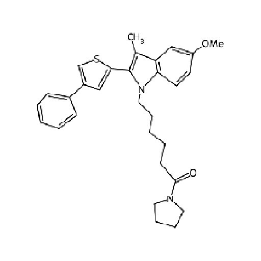 COc1ccc2c(c1)c(C)c(-c1cc(-c3ccccc3)cs1)n2CCCCCC(=O)N1CCCC1